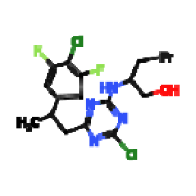 CC(C)CC(CO)Nc1nc(Cl)nc(CC(C)c2cc(F)c(Cl)c(F)c2)n1